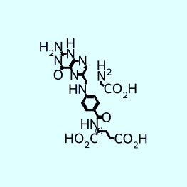 NCC(=O)O.Nc1nc(=O)c2nc(CNc3ccc(C(=O)N[C@@H](CCC(=O)O)C(=O)O)cc3)cnc2[nH]1